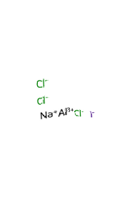 [Al+3].[Cl-].[Cl-].[Cl-].[I-].[Na+]